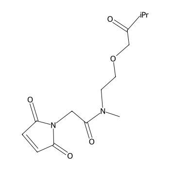 CC(C)C(=O)COCCN(C)C(=O)CN1C(=O)C=CC1=O